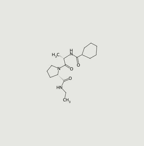 CCNC(=O)[C@@H]1CCCN1C(=O)[C@H](C)NC(=O)C1CCCCC1